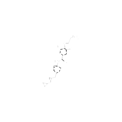 NCCOc1c(Cl)cc(C(=O)Nc2ccc(CNCC3CC3)cc2)cc1Cl